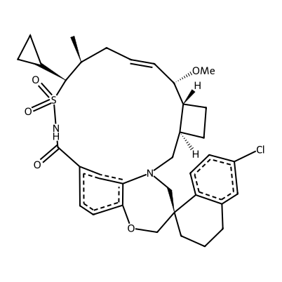 CO[C@H]1/C=C/C[C@H](C)[C@H](C2CC2)S(=O)(=O)NC(=O)c2ccc3c(c2)N(C[C@@H]2CC[C@H]21)C[C@@]1(CCCc2cc(Cl)ccc21)CO3